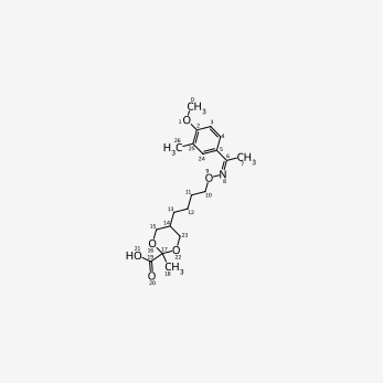 COc1ccc(/C(C)=N\OCCCCC2COC(C)(C(=O)O)OC2)cc1C